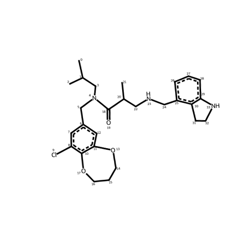 CC(C)CN(Cc1cc(Cl)c2c(c1)OCCCO2)C(=O)C(C)CNCc1cccc2c1CCN2